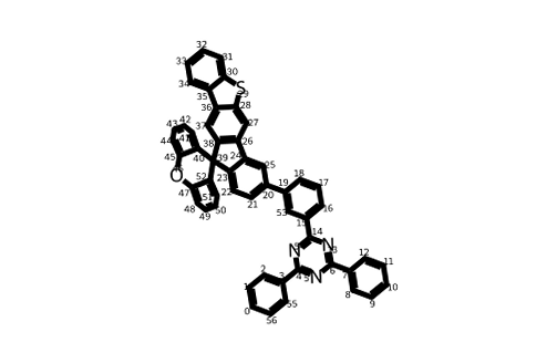 c1ccc(-c2nc(-c3ccccc3)nc(-c3cccc(-c4ccc5c(c4)-c4cc6sc7ccccc7c6cc4C54c5ccccc5Oc5ccccc54)c3)n2)cc1